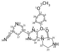 COc1ccc(Oc2nc(-c3cncc(C#N)c3)ncc2N2CCNCC2=O)cc1